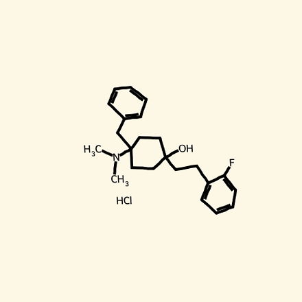 CN(C)C1(Cc2ccccc2)CCC(O)(CCc2ccccc2F)CC1.Cl